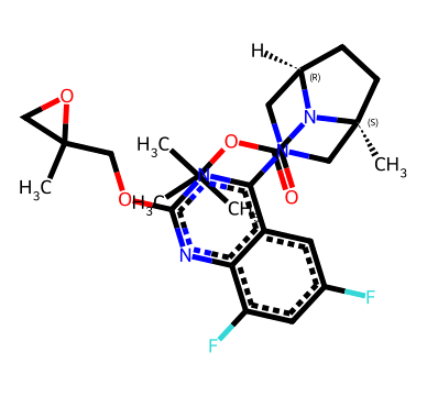 CC(C)(C)OC(=O)N1[C@@H]2CC[C@@]1(C)CN(c1nc(OCC3(C)CO3)nc3c(F)cc(F)cc13)C2